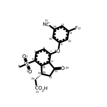 CS(=O)(=O)c1ccc(Oc2cc(F)cc(C#N)c2)c2c1[C@@H](CC(=O)O)CC2=O